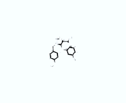 COc1ccc(Cn2nnc(C(=O)O)c2Oc2cccc(Br)c2)cc1